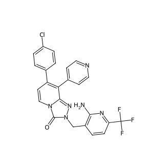 Nc1nc(C(F)(F)F)ccc1Cn1nc2c(-c3ccncc3)c(-c3ccc(Cl)cc3)ccn2c1=O